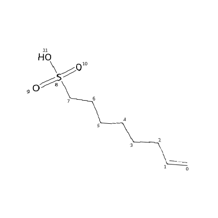 C=CCCCCCCS(=O)(=O)O